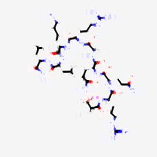 CC(C)C[C@H](NC(=O)[C@H](CC(C)C)NC(=O)[C@H](CCCCN)NC(=O)[C@H](CCCNC(=N)N)NC(=O)[C@H](C)NC(=O)[C@H](CCC(N)=O)NC(=O)[C@H](CCC(N)=O)NC(=O)[C@H](CCCNC(=N)N)NC(=O)[C@@H](C)[C@@H](C)O)C(N)=O